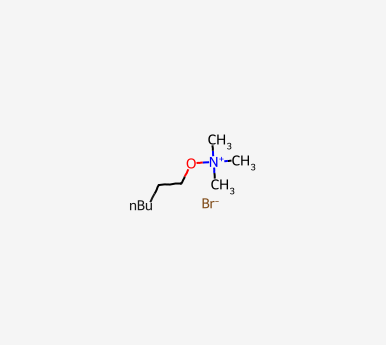 CCCCCCO[N+](C)(C)C.[Br-]